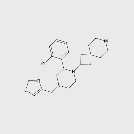 CC(C)c1ccccc1C1CN(Cc2cocn2)CCN1C1CC2(CCNCC2)C1